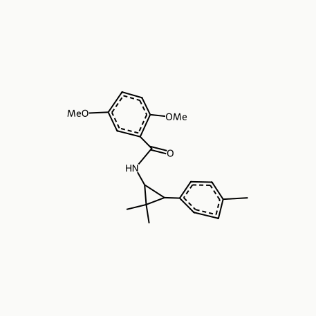 COc1ccc(OC)c(C(=O)NC2C(c3ccc(C)cc3)C2(C)C)c1